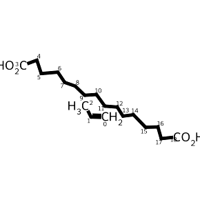 C=CC.O=C(O)CCCCCCCCCCCCCCC(=O)O